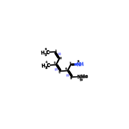 C\C=C/C(C)=C\C(C=N)=C\NC